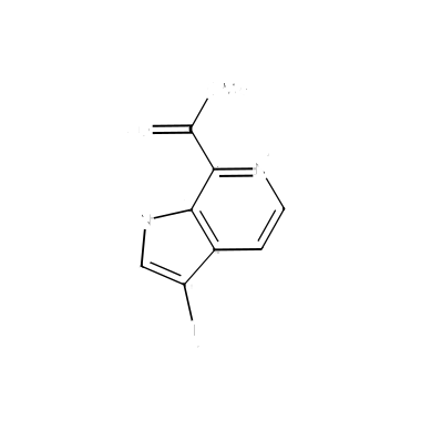 COC(=O)c1nccc2c(I)c[nH]c12